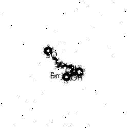 C[N+](C)(CCCOc1ccccc1)CCc1cnc(C(O)(c2ccccc2)C2CCCCC2)o1.[Br-]